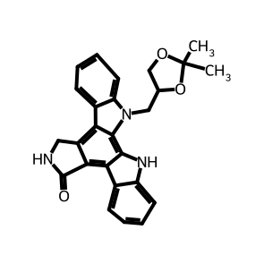 CC1(C)OCC(Cn2c3ccccc3c3c4c(c5c6ccccc6[nH]c5c32)C(=O)NC4)O1